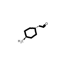 C[C@H]1CC[C@H](CC=O)CC1